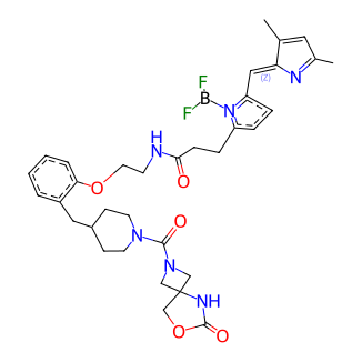 CC1=CC(C)=N/C1=C\c1ccc(CCC(=O)NCCOc2ccccc2CC2CCN(C(=O)N3CC4(COC(=O)N4)C3)CC2)n1B(F)F